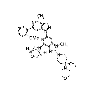 COc1ccncc1-c1cc2c(cnn2-c2cc3c(nc(N4CCC(C)(N5CCOCC5)CC4)n3C)c(N3C[C@H]4C[C@@H]3CO4)n2)c(C)n1